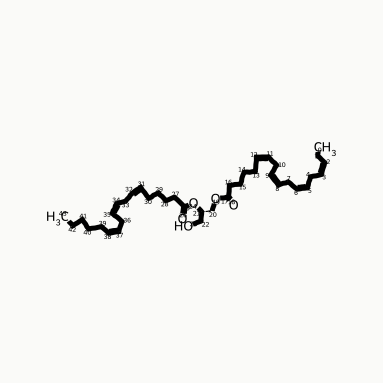 CC/C=C\C/C=C\C/C=C\C/C=C\CCCCC(=O)OC[C@H](CO)OC(=O)CCCC/C=C\C/C=C\C/C=C\CCCCC